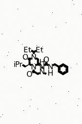 CCC(CC)N1C[C@H]2N(C(=O)CN(C)N2C(=O)NCc2ccccc2)[C@@H](CC(C)C)C1=O